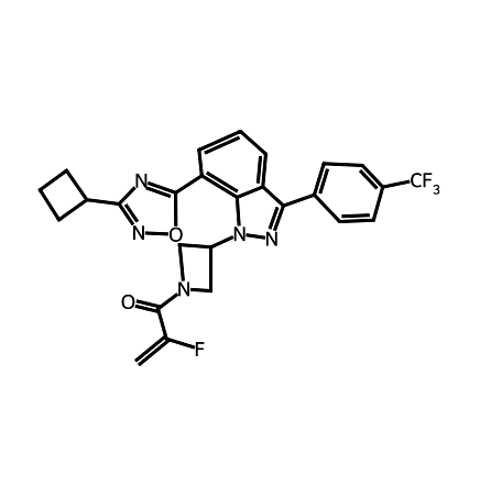 C=C(F)C(=O)N1CC(n2nc(-c3ccc(C(F)(F)F)cc3)c3cccc(-c4nc(C5CCC5)no4)c32)C1